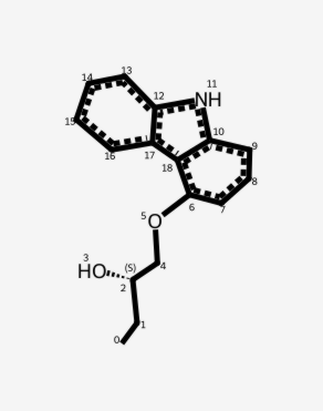 CC[C@H](O)COc1cccc2[nH]c3ccccc3c12